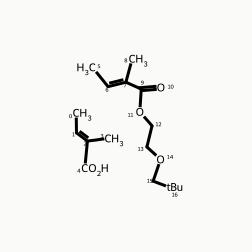 CC=C(C)C(=O)O.CC=C(C)C(=O)OCCOCC(C)(C)C